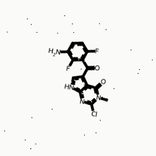 Cn1c(Cl)nc2[nH]cc(C(=O)c3c(F)ccc(N)c3F)c2c1=O